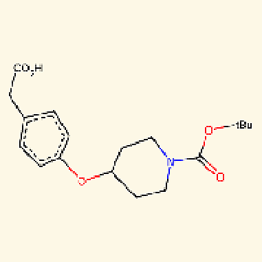 CC(C)(C)OC(=O)N1CCC(Oc2ccc(CC(=O)O)cc2)CC1